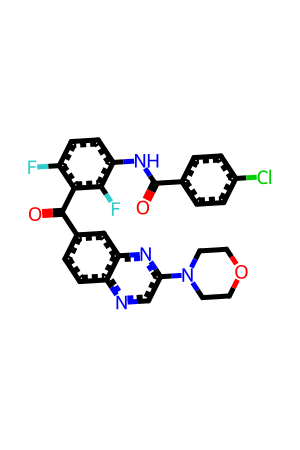 O=C(Nc1ccc(F)c(C(=O)c2ccc3ncc(N4CCOCC4)nc3c2)c1F)c1ccc(Cl)cc1